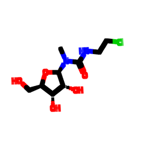 CN(C(=O)NCCCl)[C@@H]1O[C@H](CO)[C@@H](O)[C@H]1O